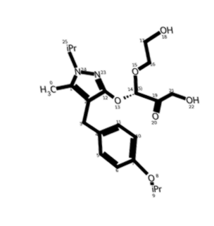 Cc1c(Cc2ccc(OC(C)C)cc2)c(O[C@H](OCCO)C(=O)CO)nn1C(C)C